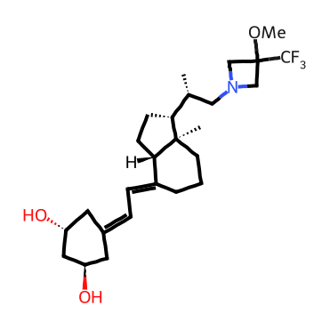 COC1(C(F)(F)F)CN(C[C@@H](C)[C@H]2CC[C@H]3/C(=C/C=C4C[C@@H](O)C[C@H](O)C4)CCC[C@]23C)C1